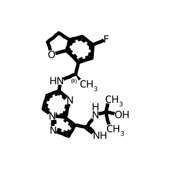 C[C@@H](Nc1ccn2ncc(C(=N)NC(C)(C)O)c2n1)c1cc(F)cc2c1OCC2